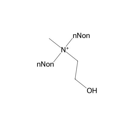 CCCCCCCCC[N+](C)(CCO)CCCCCCCCC